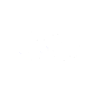 CC1=C(Cl)C(C#N)N(S(=O)(=O)C(F)F)N1c1c(F)cc(C(F)(F)F)cc1Cl